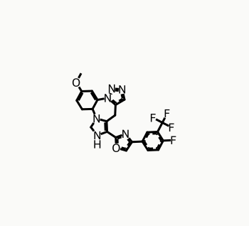 COC1=CCC2C(=C1)n1nncc1CC1=C(c3nc(-c4ccc(F)c(C(F)(F)F)c4)co3)NCN12